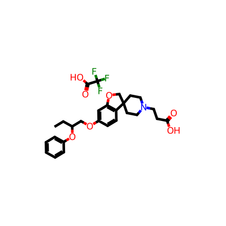 CCC(COc1ccc2c(c1)OCC21CCN(CCC(=O)O)CC1)Oc1ccccc1.O=C(O)C(F)(F)F